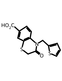 O=C(O)c1ccc2c(c1)SCC(=O)N2Cc1cccs1